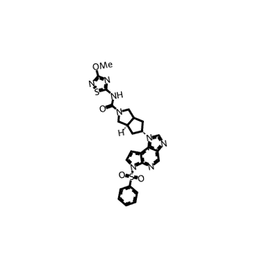 COc1nsc(NC(=O)N2CC3C[C@H](n4cnc5cnc6c(ccn6S(=O)(=O)c6ccccc6)c54)C[C@H]3C2)n1